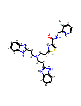 O=C(NCc1ncccc1F)c1csc(CCN(CCc2nc3ccccc3[nH]2)CCc2nc3ccccc3[nH]2)n1